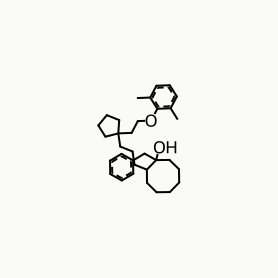 Cc1cccc(C)c1OCCC1(CCCC2CCCCCCC2(O)Cc2ccccc2)CCCC1